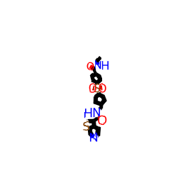 CCNC(=O)c1ccc(S(=O)(=O)c2ccc(CNC(=O)c3csc4cnccc34)cc2)cc1